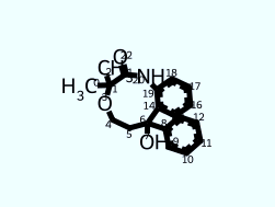 CC1(C)OCCC(O)(c2ccccc2)c2ccccc2NC1=O